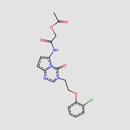 CC(=O)OCC(=O)Nc1ccc2ncn(CCOc3ccccc3Cl)c(=O)n12